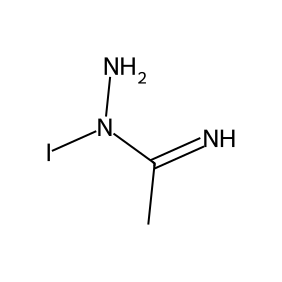 CC(=N)N(N)I